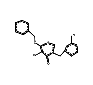 N#Cc1cccc(Cn2cnc(OCc3ccccc3)c(Br)c2=O)c1